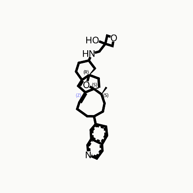 C[C@H]1CCC(c2ccc3ccncc3c2)CC/C=C2/C=C3CCC(NCC4(O)COC4)C[C@]34CC[C@@]21O4